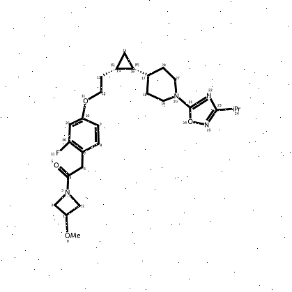 COC1CN(C(=O)Cc2ccc(OCC[C@@H]3C[C@@H]3C3CCN(c4nc(C(C)C)no4)CC3)cc2F)C1